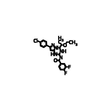 CCOC(C)CN/C(=N/C(=O)c1ccc(F)c(F)c1)Nc1cc(-c2ccc(Cl)cc2)n[nH]1